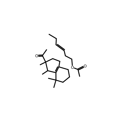 CC(=O)C1(C)CCC2=C(C1C)C(C)(C)CCC2.CCC=CCCOC(C)=O